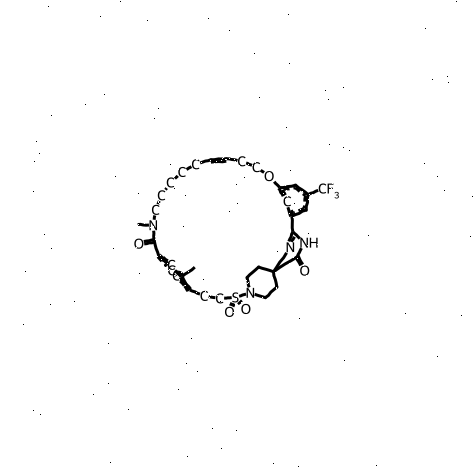 Cc1cc2ccc1CCS(=O)(=O)N1CCC3(CC1)N=C(NC3=O)c1cc(cc(C(F)(F)F)c1)OCCC=CCCCCCN(C)C2=O